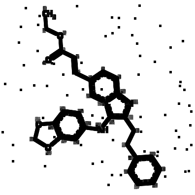 CCOC(=O)/C=C/c1ccc2nc(CCc3ccccc3)c(Nc3ccc4c(c3)OCO4)n2c1